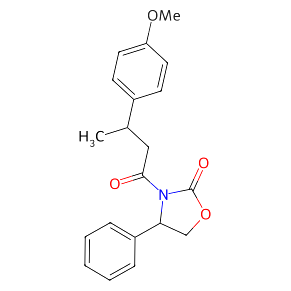 COc1ccc(C(C)CC(=O)N2C(=O)OCC2c2ccccc2)cc1